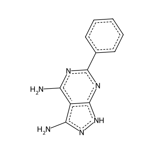 Nc1n[nH]c2nc(-c3ccccc3)nc(N)c12